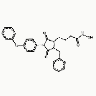 O=C(CCCC1C(=O)N(c2ccc(Oc3ccccc3)cc2)C(=O)N1Cc1ccccc1)NO